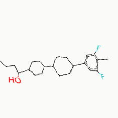 CCCC(O)C1CCC(C2CCC(c3cc(F)c(C)c(F)c3)CC2)CC1